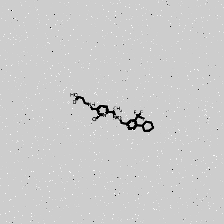 C/C(=N\OCc1ccc(C2CCCCC2)c(C(F)(F)F)c1)c1ccc(CNCCC(=O)O)c(Cl)n1